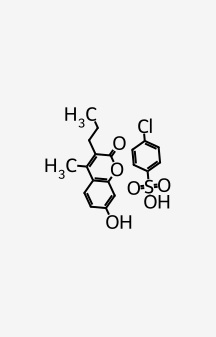 CCCc1c(C)c2ccc(O)cc2oc1=O.O=S(=O)(O)c1ccc(Cl)cc1